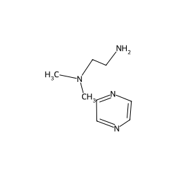 CN(C)CCN.c1cnccn1